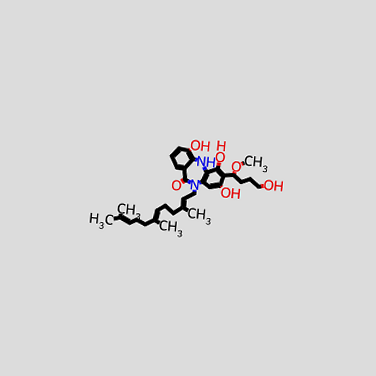 COC(CCCO)c1c(O)cc2c(c1O)Nc1c(O)cccc1C(=O)N2C/C=C(\C)CC/C=C(\C)CCC=C(C)C